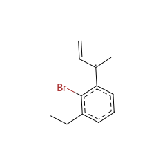 C=C[C](C)c1cccc(CC)c1Br